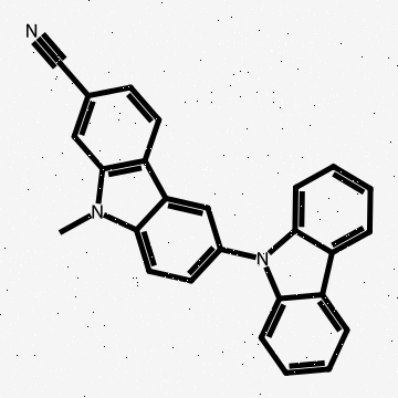 Cn1c2ccc(-n3c4ccccc4c4ccccc43)cc2c2ccc(C#N)cc21